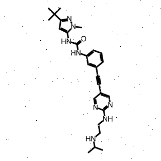 CC(C)NCCNc1ncc(C#Cc2cccc(NC(=O)Nc3cc(C(C)(C)C)nn3C)c2)cn1